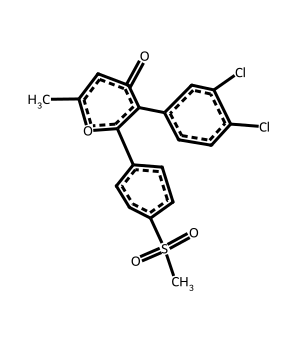 Cc1cc(=O)c(-c2ccc(Cl)c(Cl)c2)c(-c2ccc(S(C)(=O)=O)cc2)o1